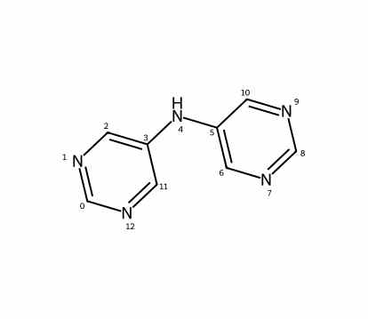 c1ncc(Nc2cncnc2)cn1